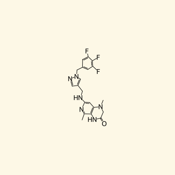 Cc1nc(NCc2cnn(Cc3cc(F)c(F)c(F)c3)c2)cc2c1NC(=O)CN2C